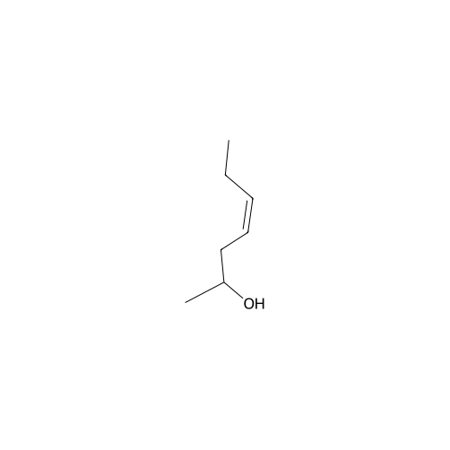 CC/C=C\CC(C)O